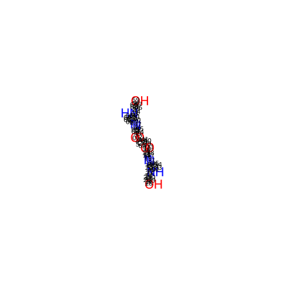 O=C(Oc1cccc2c(OC(=O)c3ccc(/N=N/c4ccc(NCc5ccc(O)cc5)c5ccccc45)cc3)cccc12)c1ccc(/N=N/c2ccc(NCc3ccc(O)cc3)c3ccccc23)cc1